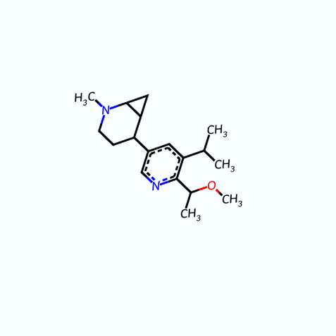 COC(C)c1ncc(C2CCN(C)C3CC23)cc1C(C)C